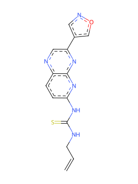 C=CCNC(=S)Nc1ccc2ncc(-c3cnoc3)nc2n1